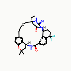 CC[C@]12CCCCc3ccc4c(c3)[C@H](CC(C)(C)O4)NC(=O)c3ccc4c(c3)[C@@H](CCC4(F)F)N(C(=N)N1)C(=O)C2